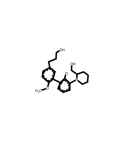 COc1ccc(CCCO)cc1-c1cc[c]c(N2CCCCC2CO)c1Cl